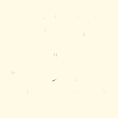 Cc1cc(F)ccc1[C@@H]1CN(S(=O)(=O)c2cccnc2)CC[C@H]1C(=O)N(C)Cc1cc(C(F)(F)F)cc(C(F)(F)F)c1.Cl